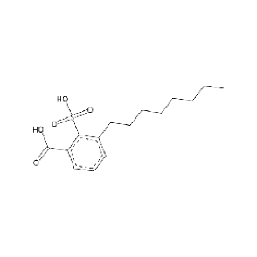 CCCCCCCCc1cccc(C(=O)O)c1S(=O)(=O)O